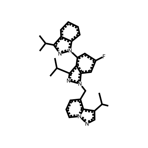 CC(C)c1nn(-c2cc(F)cc3c2c(C(C)C)nn3Cc2cccn3ncc(C(C)C)c23)c2ccccc12